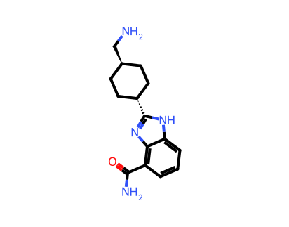 NC[C@H]1CC[C@H](c2nc3c(C(N)=O)cccc3[nH]2)CC1